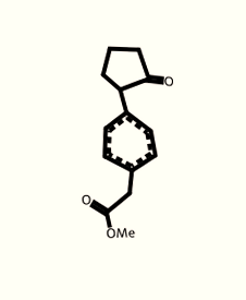 COC(=O)Cc1ccc(C2CCCC2=O)cc1